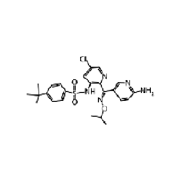 CC(C)O/N=C(\c1ccc(N)nc1)c1ncc(Cl)cc1NS(=O)(=O)c1ccc(C(C)(C)C)cc1